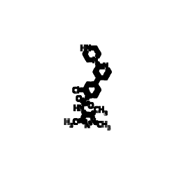 Cc1nn(C)c(C)c1NS(=O)(=O)c1ccc(-c2ccnc(N3CCNCC3)c2)cc1Cl